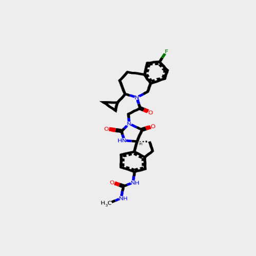 CNC(=O)Nc1ccc2c(c1)CC[C@@]21NC(=O)N(CC(=O)N2Cc3ccc(F)cc3CCC2C2CC2)C1=O